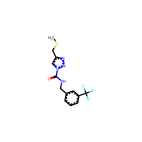 CSCc1cn(C(=O)NCc2cccc(C(F)(F)F)c2)nn1